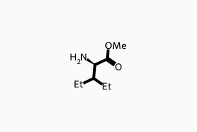 CCC(CC)[C@@H](N)C(=O)OC